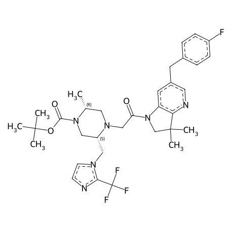 C[C@@H]1CN(CC(=O)N2CC(C)(C)c3ncc(Cc4ccc(F)cc4)cc32)[C@H](Cn2ccnc2C(F)(F)F)CN1C(=O)OC(C)(C)C